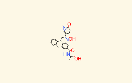 Cc1ccccc1C(CC(=NO)c1ccc(=O)n(C)c1)c1ccc(C(=O)NC(C)CO)cc1